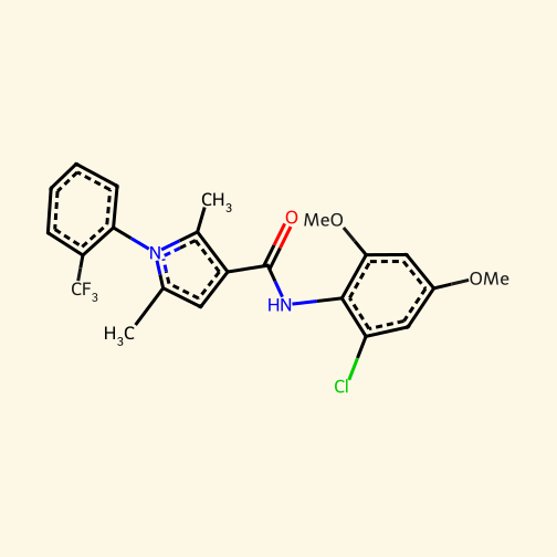 COc1cc(Cl)c(NC(=O)c2cc(C)n(-c3ccccc3C(F)(F)F)c2C)c(OC)c1